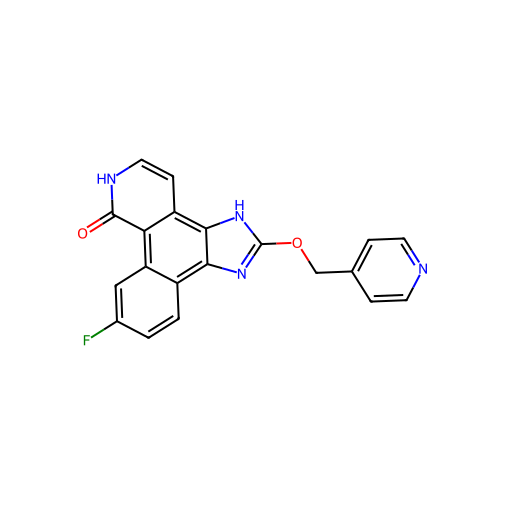 O=c1[nH]ccc2c3[nH]c(OCc4ccncc4)nc3c3ccc(F)cc3c12